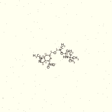 C[C@H](COCc1cc([N+](=O)[O-])c2cnn(C)c2c1)OC(=O)NC(C)(C)C